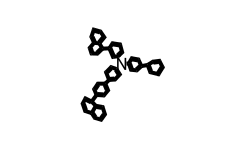 c1ccc(-c2ccc(N(c3ccc(-c4ccc(-c5cccc6ccccc56)cc4)cc3)c3cccc(-c4cccc5ccccc45)c3)cc2)cc1